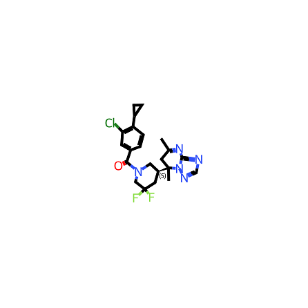 CC1=Nc2ncnn2C(C)([C@@H]2CN(C(=O)c3ccc(C4CC4)c(Cl)c3)CC(F)(F)C2)C1